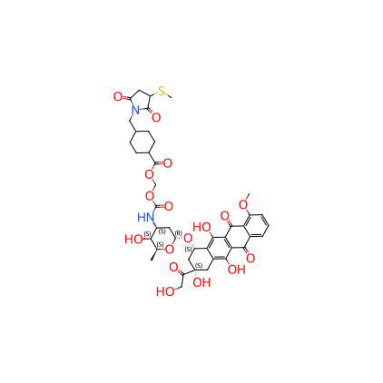 COc1cccc2c1C(=O)c1c(O)c3c(c(O)c1C2=O)C[C@@](O)(C(=O)CO)C[C@@H]3O[C@H]1C[C@H](NC(=O)OCOC(=O)C2CCC(CN3C(=O)CC(SC)C3=O)CC2)[C@H](O)[C@H](C)O1